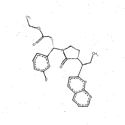 CCOC(=O)C[C@@H](c1cccc(F)c1)N1CCC(C(CC)c2ccc3cccnc3n2)C1=O